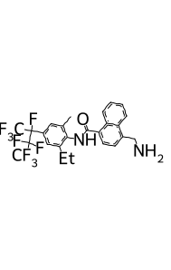 CCc1cc(C(F)(C(F)(F)F)C(F)(F)C(F)(F)F)cc(C)c1NC(=O)c1ccc(CN)c2ccccc12